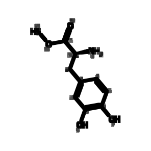 N[C@@H](Cc1ccc(O)c(O)c1)C(=O)OS